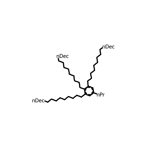 [CH2]CCc1cc(CCCCCCCCCCCCCCCCCCC)c(CCCCCCCCCCCCCCCCCCC)c(CCCCCCCCCCCCCCCCCCC)c1